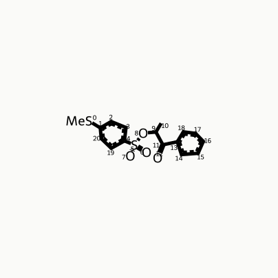 CSc1ccc(S(=O)(=O)OC(C)C(=O)c2ccccc2)cc1